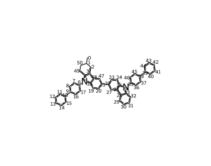 CC1C=c2c(n(-c3ccc(-c4ccccc4)cc3)c3ccc(-c4ccc5c(c4)c4ccccc4n5-c4ccc(-c5ccccc5)cc4)cc23)=CC1